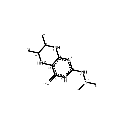 CC1Nc2nc(NN(C)C)[nH]c(=O)c2NC1C